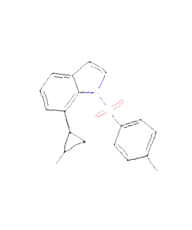 Cc1ccc(S(=O)(=O)n2ccc3cccc(C4CC4C(=O)O)c32)cc1